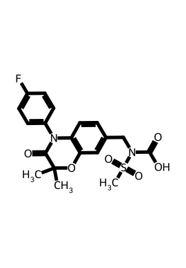 CC1(C)Oc2cc(CN(C(=O)O)S(C)(=O)=O)ccc2N(c2ccc(F)cc2)C1=O